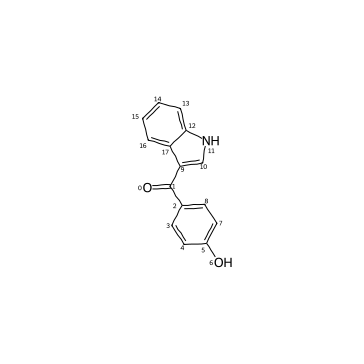 O=C(c1ccc(O)cc1)c1c[nH]c2ccccc12